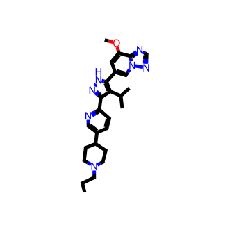 CCCN1CCC(c2ccc(-c3n[nH]c(-c4cc(OC)c5ncnn5c4)c3C(C)C)nc2)CC1